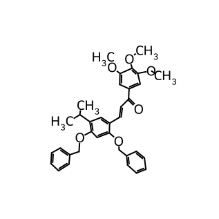 COc1cc(C(=O)/C=C/c2cc(C(C)C)c(OCc3ccccc3)cc2OCc2ccccc2)cc(OC)c1OC